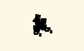 C[C@@H]1CC(F)(F)CN(C(=O)c2nn(C)cc2-c2cccc(C(F)(F)F)n2)C1CNc1ncc(C(F)(F)F)cn1